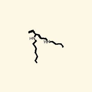 C=CC(C=CCNCCCC)NCCCCCCC